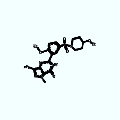 CCCc1nn(C)c2c(=O)[nH]c(-c3cc(S(=O)(=O)N4CCC(OCC)CC4)ccc3OCC)nc12